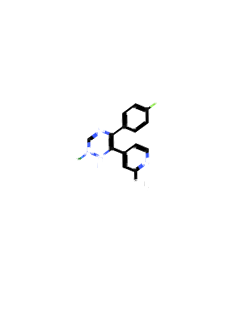 Cc1cc(C2=C(c3ccc(F)cc3)N=CN(Cl)N2)ccn1